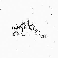 CCC1Cc2nc(Nc3ccc(N4CCC(O)CC4)cc3C)ncc2N(C)C(=O)c2ccccc21